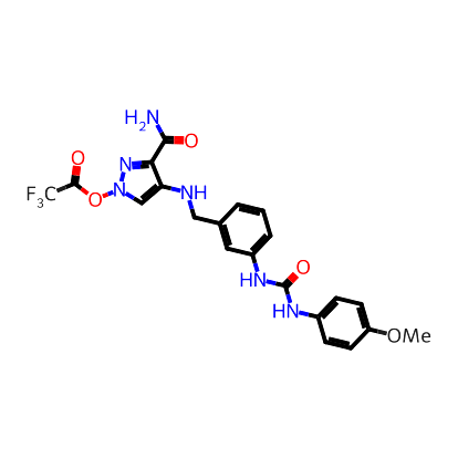 COc1ccc(NC(=O)Nc2cccc(CNc3cn(OC(=O)C(F)(F)F)nc3C(N)=O)c2)cc1